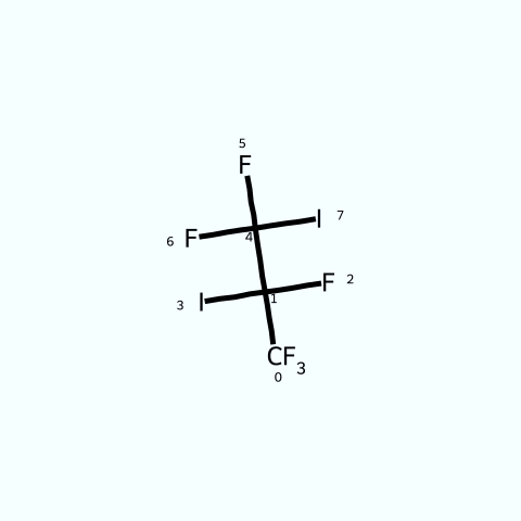 FC(F)(F)C(F)(I)C(F)(F)I